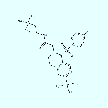 CC(C)(O)CCNC(=O)C[C@@H]1CCc2cc(C(O)(C(F)(F)F)C(F)(F)F)ccc2N1S(=O)(=O)c1ccc(F)cc1